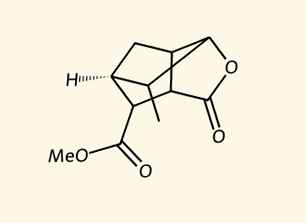 COC(=O)C1C2C(=O)OC3C2C[C@H]1C3C